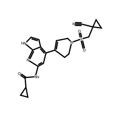 N#CC1(CS(=O)(=O)N2CC=C(c3cc(NC(=O)C4CC4)nc4[nH]ccc34)CC2)CC1